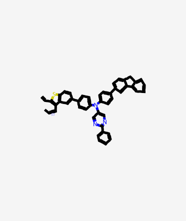 C=Cc1sc2ccc(-c3ccc(N(c4ccc(-c5ccc6c(c5)-c5ccccc5C6)cc4)c4cnc(-c5ccccc5)nc4)cc3)cc2c1/C=C\C